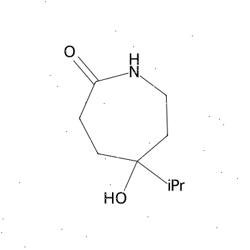 CC(C)C1(O)CCNC(=O)CC1